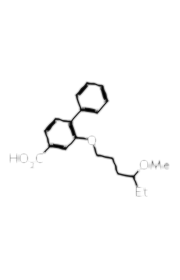 CCC(CCCOc1cc(C(=O)O)ccc1-c1ccccc1)OC